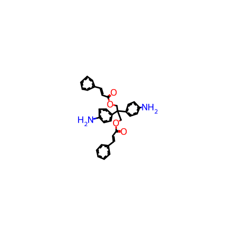 Nc1ccc(C(COC(=O)/C=C/c2ccccc2)(COC(=O)/C=C/c2ccccc2)c2ccc(N)cc2)cc1